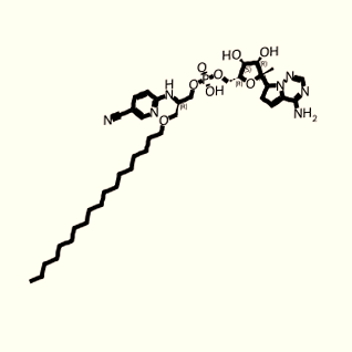 CCCCCCCCCCCCCCCCCCOC[C@H](COP(=O)(O)OC[C@H]1O[C@@](C)(C2CC=C3C(N)=NC=NN32)[C@H](O)[C@@H]1O)Nc1ccc(C#N)cn1